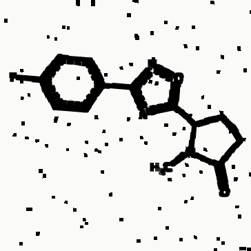 CN1C(=O)CCC1c1nc(-c2ccc(F)cc2)no1